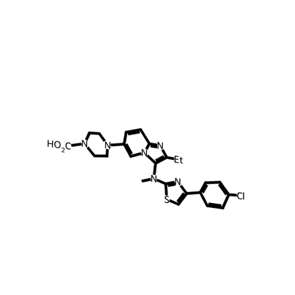 CCc1nc2ccc(N3CCN(C(=O)O)CC3)cn2c1N(C)c1nc(-c2ccc(Cl)cc2)cs1